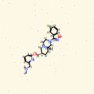 CN(C)Cc1cccc(OC[C@@H]2CC[C@H]3CN(c4noc5ccc(F)cc45)CCN3C2)n1